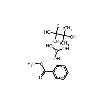 CC(C)(O)C(C)(C)O.COC(=O)c1ccccc1.OB(O)O